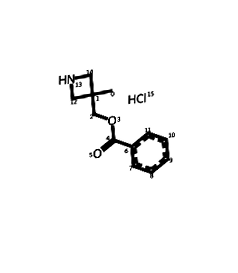 CC1(COC(=O)c2ccccc2)CNC1.Cl